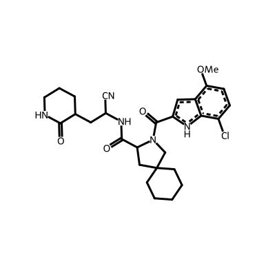 COc1ccc(Cl)c2[nH]c(C(=O)N3CC4(CCCCC4)CC3C(=O)NC(C#N)CC3CCCNC3=O)cc12